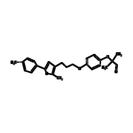 Cc1ccc(-c2cc(CCCOc3ccc(OC(C)(C)C=O)cc3)c(C)o2)cc1